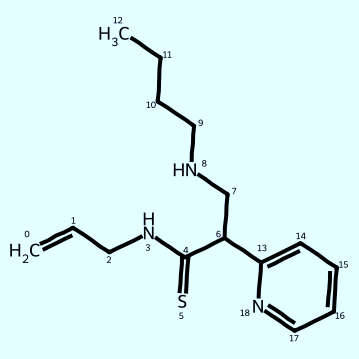 C=CCNC(=S)C(CNCCCC)c1ccccn1